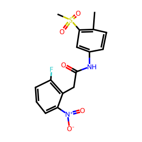 Cc1ccc(NC(=O)Cc2c(F)cccc2[N+](=O)[O-])cc1S(C)(=O)=O